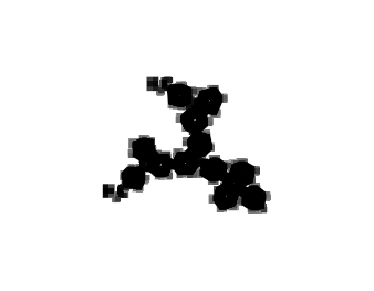 Cc1ccc(-n2c3c(c4ccccc42)CC(c2ccc4c(c2)c2cc(-c5ccc6c(c5)c5ccccc5n6-c5ccc(C)cc5)ccc2n4-c2ccc(-c4c5ccccc5c(-c5ccccc5)c5ccccc45)cc2)C=C3)cc1